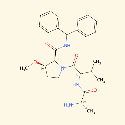 CO[C@@H]1CCN(C(=O)[C@@H](NC(=O)[C@H](C)N)C(C)C)[C@@H]1C(=O)NC(c1ccccc1)c1ccccc1